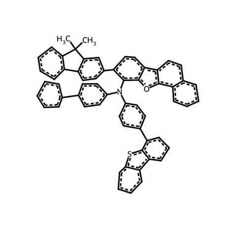 CC1(C)c2ccccc2-c2ccc(-c3ccc4c(oc5c6ccccc6ccc45)c3N(c3ccc(-c4ccccc4)cc3)c3ccc(-c4cccc5c4sc4ccccc45)cc3)cc21